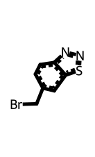 BrCc1ccc2nnsc2c1